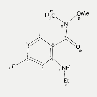 CCNc1cc(F)ccc1C(=O)N(C)OC